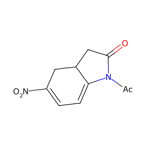 CC(=O)N1C(=O)CC2CC([N+](=O)[O-])=CC=C21